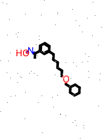 C/C(=N\O)c1cccc(CCCCCCOCC2CCCCC2)c1